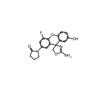 NC1=NC2(CO1)c1cc(O)ccc1Oc1c(F)cc(N3CCCC3=O)cc12